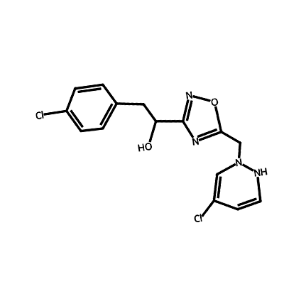 OC(Cc1ccc(Cl)cc1)c1noc(CN2C=C(Cl)C=CN2)n1